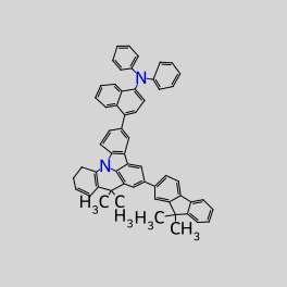 CC1(C)C2=C(CCC=C2)n2c3ccc(-c4ccc(N(c5ccccc5)c5ccccc5)c5ccccc45)cc3c3cc(-c4ccc5c(c4)C(C)(C)c4ccccc4-5)cc1c32